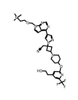 C[Si](C)(C)CCOCn1ccc2c(-c3cnn(C4(CC#N)CC(N5CCC(Oc6cc(CCO)cc(C(F)(F)F)n6)CC5)C4)c3)ncnc21